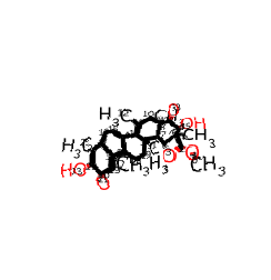 COC(=O)C1(C)CC2C(C)(CC(C)=C3C4=CC=C5C(=CC(=O)C(O)=C5C)C4(C)CCC32C)C(=O)C1O